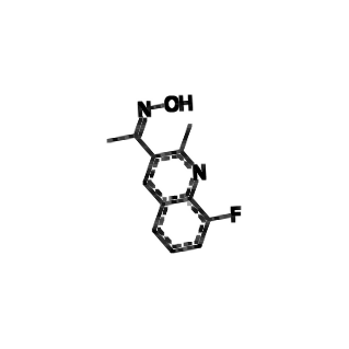 C/C(=N/O)c1cc2cccc(F)c2nc1C